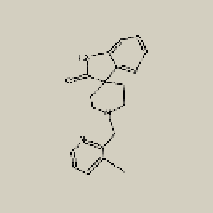 Cc1cccnc1CN1CCC2(CC1)C(=O)Nc1ccccc12